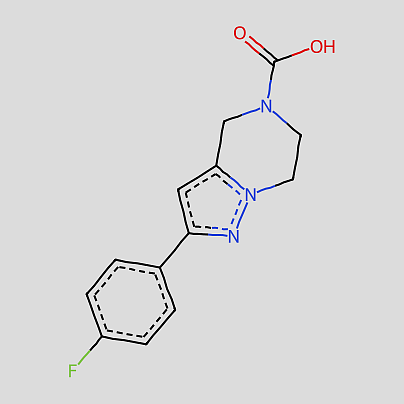 O=C(O)N1CCn2nc(-c3ccc(F)cc3)cc2C1